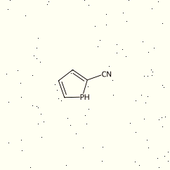 N#Cc1ccc[pH]1